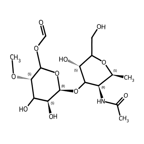 CO[C@@H]1C(OC=O)O[C@@H](OC2[C@H](O)C(CO)O[C@@H](C)[C@H]2NC(C)=O)[C@@H](O)C1O